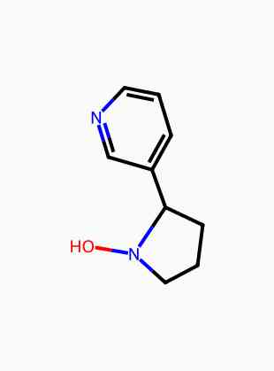 ON1CCCC1c1cccnc1